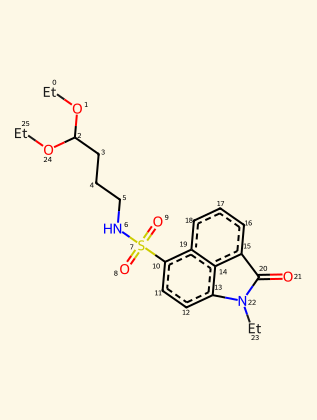 CCOC(CCCNS(=O)(=O)c1ccc2c3c(cccc13)C(=O)N2CC)OCC